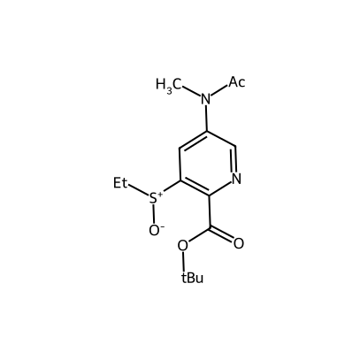 CC[S+]([O-])c1cc(N(C)C(C)=O)cnc1C(=O)OC(C)(C)C